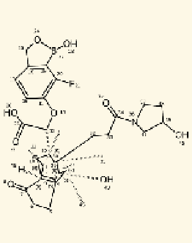 C[C@@H]1CC[C@@]23CCC(=O)[C@H]2[C@@]1(C)[C@H](C(Oc1ccc2c(c1F)B(O)OC2)C(=O)O)C[C@@](C)(CCC(=O)N1CCC(O)C1)[C@@H](O)[C@@H]3C